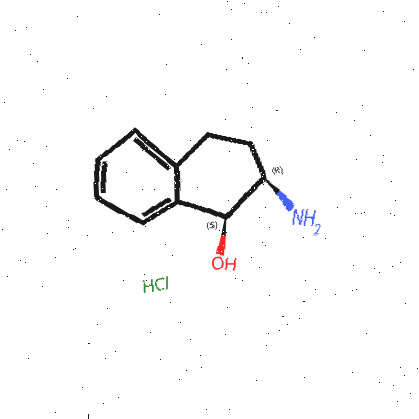 Cl.N[C@@H]1CCc2ccccc2[C@@H]1O